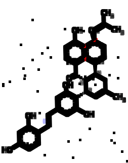 CC(C)=CCc1c(O)ccc(C(=O)[C@H]2[C@@H](c3c(O)cc(/C=C/c4ccc(O)cc4O)cc3O)C=C(C)C[C@@H]2c2ccc(O)cc2O)c1O